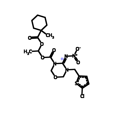 CC(OC(=O)N1COCN(Cc2ccc(Cl)s2)/C1=N\[N+](=O)[O-])OC(=O)C1(C)CCCCC1